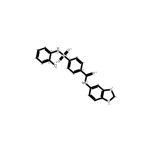 O=C(Nc1ccc2c(c1)OCO2)c1ccc(S(=O)(=O)Nc2ccccc2Cl)cc1